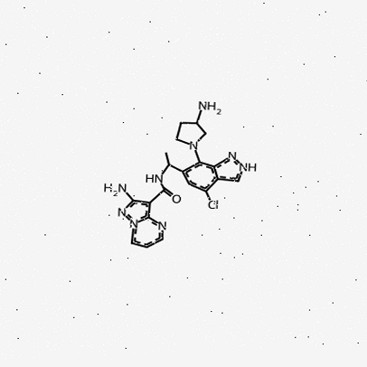 CC(NC(=O)c1c(N)nn2cccnc12)c1cc(Cl)c2c[nH]nc2c1N1CCC(N)C1